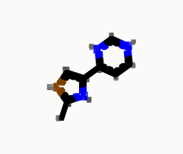 Cc1nc(-c2ccn[c]n2)cs1